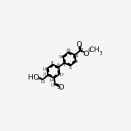 COC(=O)c1ccc(-c2ccc(CO)c(C=O)c2)cc1